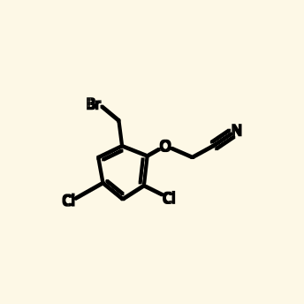 N#CCOc1c(Cl)cc(Cl)cc1CBr